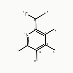 Cc1nc(C(F)F)c(C)c(C)c1C